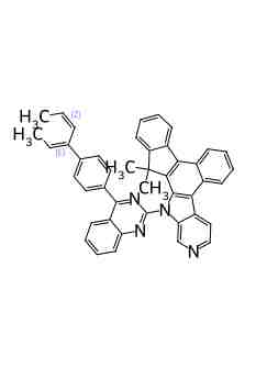 C/C=C\C(=C/C)c1ccc(-c2nc(-n3c4cnccc4c4c5ccccc5c5c(c43)C(C)(C)c3ccccc3-5)nc3ccccc23)cc1